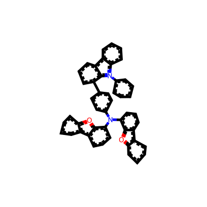 c1ccc(-n2c3ccccc3c3cccc(-c4ccc(N(c5cccc6c5oc5ccccc56)c5cccc6c5oc5ccccc56)cc4)c32)cc1